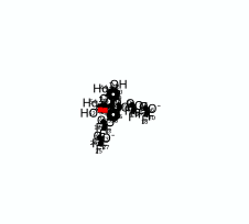 O=C([O-])C(F)(F)F.O=C([O-])C(F)(F)F.O=C([O-])C(F)(F)F.O=C([O-])C(F)(F)F.O=C1OC2(c3ccccc31)c1ccc(O)[c]([Hg+2])c1Oc1c2ccc(O)[c]1[Hg+2]